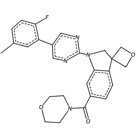 Cc1ccc(F)c(-c2cnc(N3CC4(COC4)c4ccc(C(=O)N5CCOCC5)cc43)nc2)c1